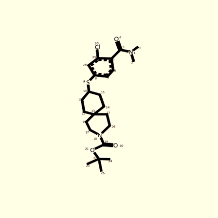 CN(C)C(=O)c1ccc(SC2CCC3(CC2)CCN(C(=O)OC(C)(C)C)CC3)cc1Cl